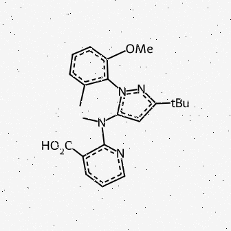 COc1cccc(C)c1-n1nc(C(C)(C)C)cc1N(C)c1ncccc1C(=O)O